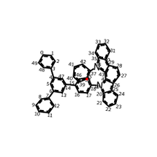 c1ccc(-c2cc(-c3ccccc3)cc(-c3ccc(-n4c5ccccc5c5ccc6c7ccccc7n(-c7ccccc7)c6c54)cc3)c2)cc1